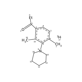 CCC(=O)c1ccc(C)c(N2CCCCC2)c1C.[2H]